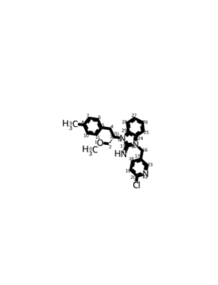 COC[C@H](Cc1ccc(C)cc1)n1c(=N)n(Cc2ccc(Cl)nc2)c2ccccc21